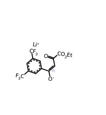 CCOC(=O)C(=O)/C=C(/[O-])c1cc(C(F)(F)F)cc(C(F)(F)F)c1.[Li+]